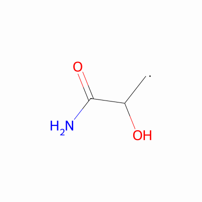 [CH2]C(O)C(N)=O